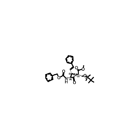 COC(=O)[C@H](CO[Si](C)(C)C(C)(C)C)N1C(=O)[C@H](NC(=O)OCc2ccccc2)[C@@H]1C=Cc1ccccc1